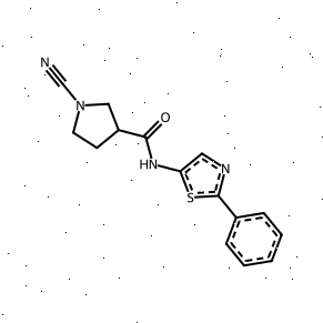 N#CN1CCC(C(=O)Nc2cnc(-c3ccccc3)s2)C1